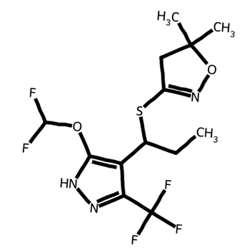 CCC(SC1=NOC(C)(C)C1)c1c(C(F)(F)F)n[nH]c1OC(F)F